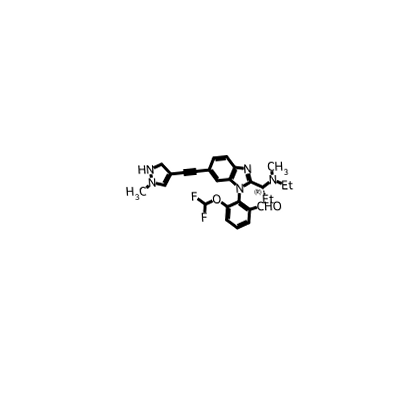 CC[C@H](c1nc2ccc(C#CC3=CN(C)NC3)cc2n1-c1c(C=O)cccc1OC(F)F)N(C)CC